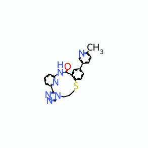 Cc1ccc(-c2ccc3c(c2)C(=O)Nc2cccc(n2)-c2nncn2CCCS3)cn1